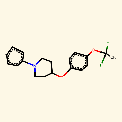 FC(F)(F)C(F)(F)Oc1ccc(OC2CCN(c3cc[c]cc3)CC2)cc1